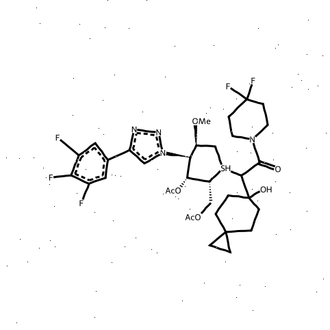 CO[C@H]1C[SH](C(C(=O)N2CCC(F)(F)CC2)C2(O)CCC3(CC3)CC2)[C@H](COC(C)=O)[C@H](OC(C)=O)[C@H]1n1cc(-c2cc(F)c(F)c(F)c2)nn1